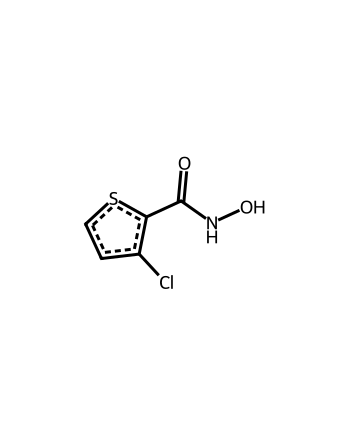 O=C(NO)c1sccc1Cl